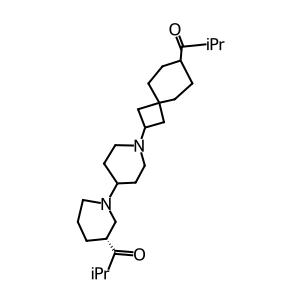 CC(C)C(=O)C1CCC2(CC1)CC(N1CCC(N3CCC[C@@H](C(=O)C(C)C)C3)CC1)C2